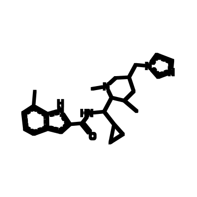 Cc1cccc2cc(C(=O)NC(C3CC3)C3C(C)CC(Cn4ccnc4)CN3C)[nH]c12